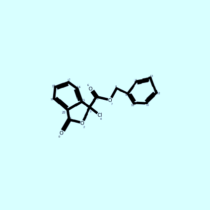 O=C1OC(Cl)(C(=O)OCc2ccccc2)c2ccccc21